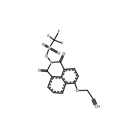 C#CCOc1ccc2c3c(cccc13)C(=O)N(OS(=O)(=O)C(F)(F)F)C2=O